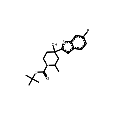 CC1CC(O)(c2cc3ccc(F)cc3s2)CCN1C(=O)OC(C)(C)C